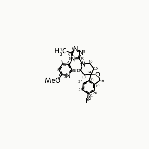 COc1ccc(-n2c(C)nnc2N2CCC3(CC2)OCc2cc(F)ccc23)cn1